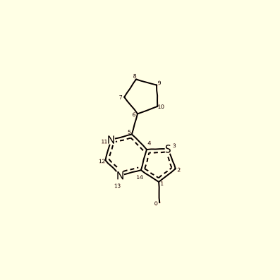 Cc1csc2c(C3CCCC3)ncnc12